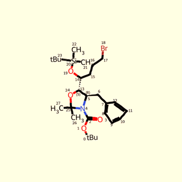 CC(C)(C)OC(=O)N1[C@H](Cc2ccccc2)[C@@H](C(CCCBr)O[Si](C)(C)C(C)(C)C)OC1(C)C